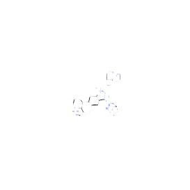 C[C@]12CCC(CN(c3nc(OC[C@@]45CCCN4C[C@H](F)C5)nc4c(F)c(-c5cc(O)cn6ncc(Cl)c56)c(F)cc34)C1)N2